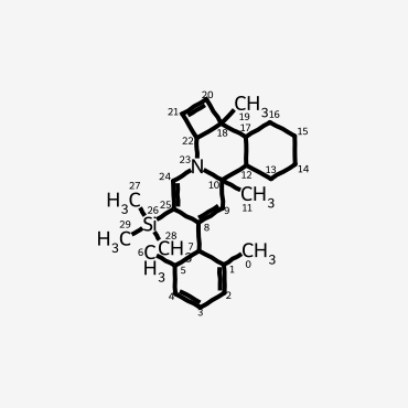 CC1=CC=CC(C)C1C1=CC2(C)C3CCCCC3C3(C)C=CC3N2C=C1[Si](C)(C)C